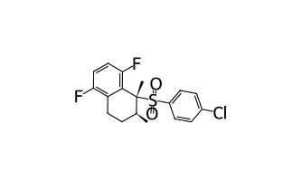 C[C@H]1CCc2c(F)ccc(F)c2[C@]1(C)S(=O)(=O)c1ccc(Cl)cc1